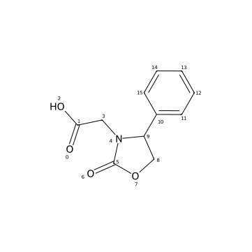 O=C(O)CN1C(=O)OCC1c1ccccc1